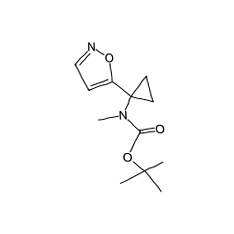 CN(C(=O)OC(C)(C)C)C1(c2ccno2)CC1